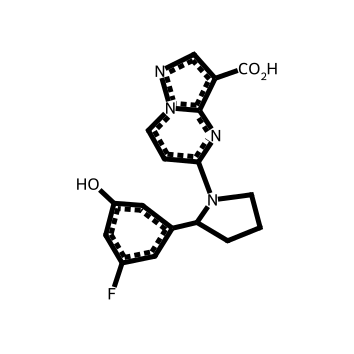 O=C(O)c1cnn2ccc(N3CCCC3c3cc(O)cc(F)c3)nc12